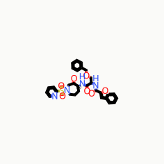 O=C(NC(COCc1ccccc1)C(=O)N[C@H]1CCCN(S(=O)(=O)c2ccccn2)CC1=O)c1cc2ccccc2o1